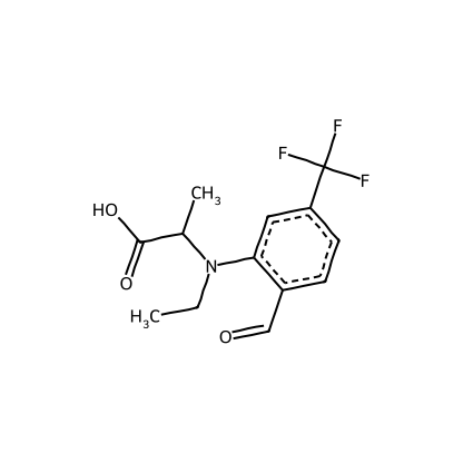 CCN(c1cc(C(F)(F)F)ccc1C=O)C(C)C(=O)O